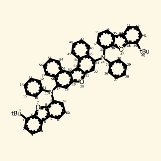 CC(C)(C)c1cccc2c1oc1c(N(c3ccccc3)c3cc4oc5cc(N(c6ccccc6)c6cccc7c6oc6c(C(C)(C)C)cccc67)c6ccccc6c5c4c4ccccc34)cccc12